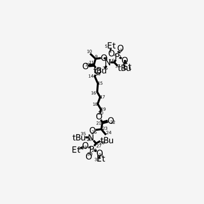 CCOP(=O)(OCC)C(N(OC(C)C(=O)OCCCCCCOC(=O)C(C)ON(C(C(C)(C)C)P(=O)(OCC)OCC)C(C)(C)C)C(C)(C)C)C(C)(C)C